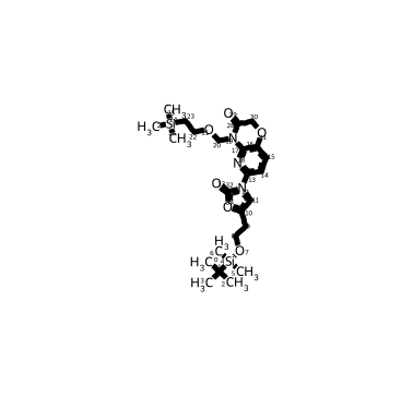 CC(C)(C)[Si](C)(C)OCCc1cn(-c2ccc3c(n2)N(COCC[Si](C)(C)C)C(=O)CO3)c(=O)o1